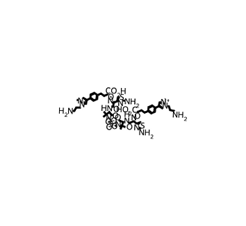 C[n+]1cc(-c2ccc(CCC(O/N=C(/C(=O)N[C@@H]3C(=O)N(OS(=O)(=O)ON4C(=O)[C@@H](NC(=O)/C(=N/OC(CCc5ccc(-c6cn(CCCN)[n+](C)c6)cc5)C(=O)O)c5csc(N)n5)C4(C)C)C3(C)C)c3csc(N)n3)C(=O)O)cc2)cn1CCCN